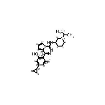 CC(C)N1CCC[C@@H](Nc2nnc(-c3c(O)cc(C4CC4)cc3F)c3cccn23)C1